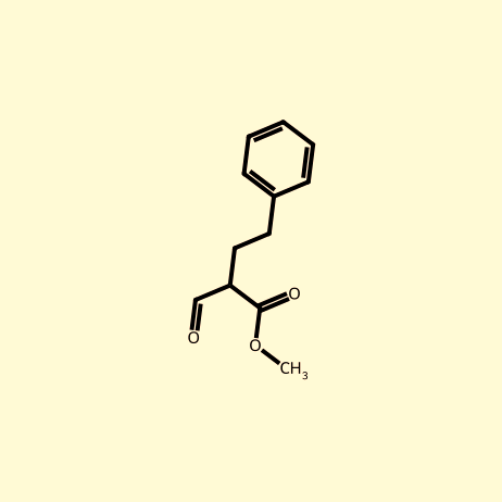 COC(=O)C(C=O)CCc1ccccc1